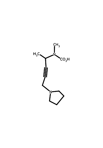 CC(C#CCN1CCCC1)N(C)C(=O)O